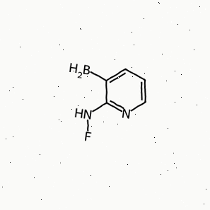 Bc1cccnc1NF